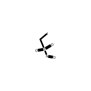 O=NS(=O)(=O)CI